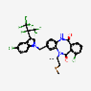 CSC[C@H](C)N1C(=O)c2c(Cl)cccc2C(=O)Nc2ccc(Cn3cc(C(F)(C(F)(F)F)C(F)(F)F)c4cc(Cl)ccc43)cc21